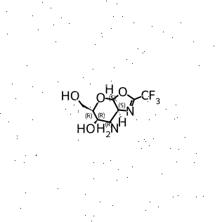 N[C@H]1[C@@H](O)[C@@H](CO)O[C@H]2OC(C(F)(F)F)=N[C@H]21